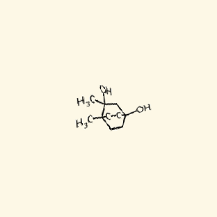 CC1(O)CC2(O)CCC1(C)CC2